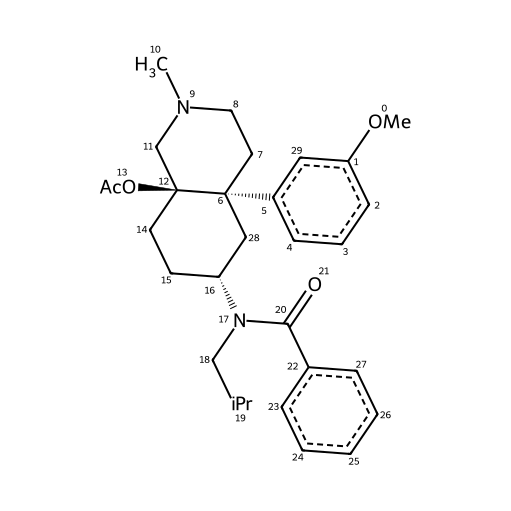 COc1cccc([C@@]23CCN(C)C[C@@]2(OC(C)=O)CC[C@@H](N(CC(C)C)C(=O)c2ccccc2)C3)c1